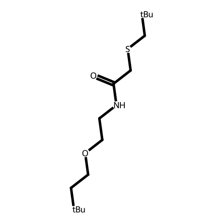 CC(C)(C)CCOCCNC(=O)CSCC(C)(C)C